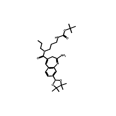 CCCN(CCCNC(=O)OC(C)(C)C)C(=O)C1=Cc2ccc(B3OC(C)(C)C(C)(C)O3)cc2N=C(N)C1